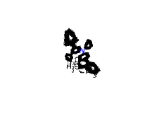 CC1(C)c2ccccc2-c2ccc(N(c3ccccc3)c3cc(-c4ccccc4)cc(-c4ccccc4)c3)cc2C1(C)C